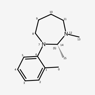 Cc1ccccc1N1CCCCN(C)[C@@H]1C